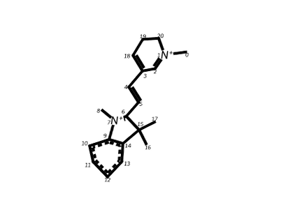 C[N+]1=CC(/C=C/C2=[N+](C)c3ccccc3C2(C)C)=CCC1